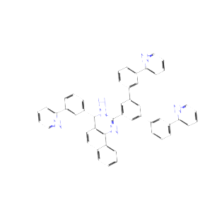 c1ccc(-c2cccc(-c3cc(C4=Nc5c(ccc6ccccc56)C(c5cccc(-c6ccccn6)c5)N4)cc(-c4cccc(-c5ccccn5)c4)c3)c2)nc1